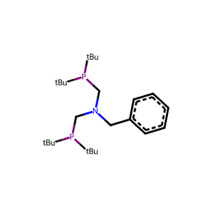 CC(C)(C)P(CN(Cc1ccccc1)CP(C(C)(C)C)C(C)(C)C)C(C)(C)C